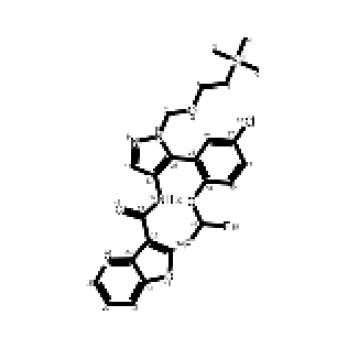 C[Si](C)(C)CCOCn1ncc(NC(=O)c2coc3cccnc23)c1-c1cc(Cl)ccc1OC(F)F